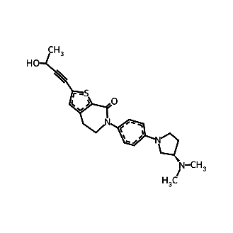 CC(O)C#Cc1cc2c(s1)C(=O)N(c1ccc(N3CC[C@@H](N(C)C)C3)cc1)CC2